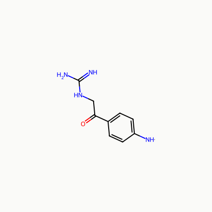 [NH]c1ccc(C(=O)CNC(=N)N)cc1